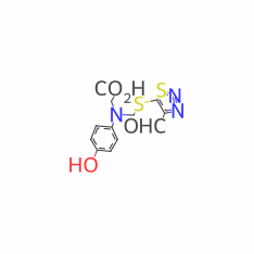 O=Cc1nnsc1SCN(CC(=O)O)c1ccc(O)cc1